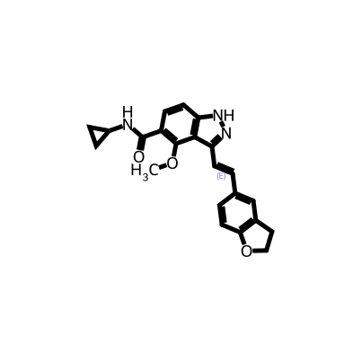 COc1c(C(=O)NC2CC2)ccc2[nH]nc(/C=C/c3ccc4c(c3)CCO4)c12